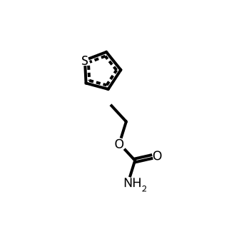 CCOC(N)=O.c1ccsc1